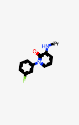 CC(C)Nc1cccn(-c2cccc(F)c2)c1=O